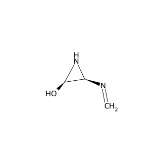 C=N[C@@H]1N[C@@H]1O